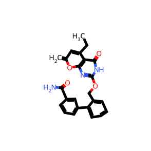 C=C1C=C(CC)c2c(nc(OCc3ccccc3-c3cccc(C(N)=O)c3)[nH]c2=O)O1